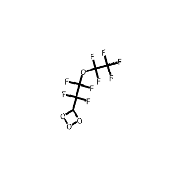 FC(F)(F)C(F)(F)OC(F)(F)C(F)(F)C1OOO1